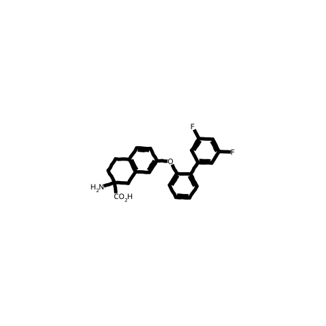 NC1(C(=O)O)CCc2ccc(Oc3ccccc3-c3cc(F)cc(F)c3)cc2C1